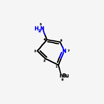 CCCCc1ccc(N)cn1